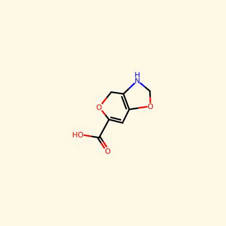 O=C(O)C1=CC2=C(CO1)NCO2